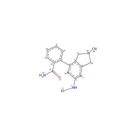 CCNc1nc2c(c(-c3ccccc3C(N)=O)n1)CN(C#N)C2